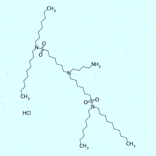 CCCCCCCCCCN(CCCCCCCC)S(=O)(=O)CCCCCCN(CCCCN)CCCCCCS(=O)(=O)N(CCCCCCCC)CCCCCCCCCC.Cl